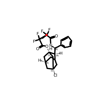 O=C(N[C@@H](c1ccccc1)[C@H]1C2C[C@H]3C[C@](Cl)(C2)C[C@@]1(OC(=O)C(F)(F)F)C3)C(F)(F)F